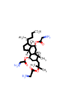 CC[C@@]1(C)C(CC(C)(C)OC(=O)CN)C[C@@H](OC(=O)CN)C2[C@@H]3CCC([C@H](C)CCC(=O)O)[C@@]3(C)[C@@H](OC(=O)CN)C[C@@H]21